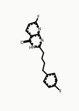 O=c1[nH]c(CCCCc2ccc(F)cc2)nc2nc(F)ccc12